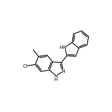 Cc1cc2c(-c3cc4ccccc4[nH]3)n[nH]c2cc1Cl